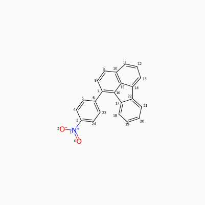 O=[N+]([O-])c1ccc(-c2ccc3cccc4c3c2-c2ccccc2-4)cc1